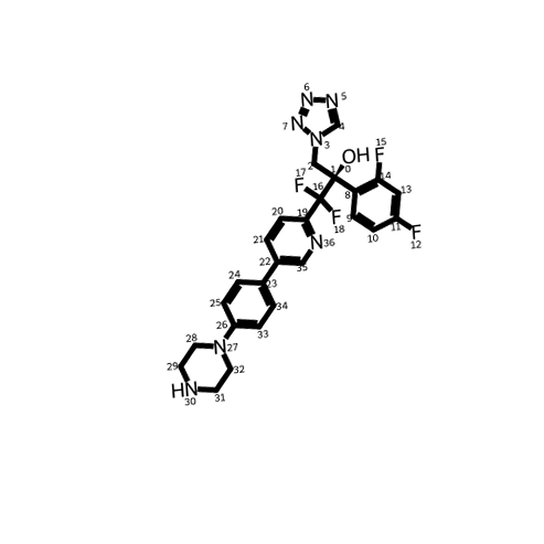 O[C@@](Cn1cnnn1)(c1ccc(F)cc1F)C(F)(F)c1ccc(-c2ccc(N3CCNCC3)cc2)cn1